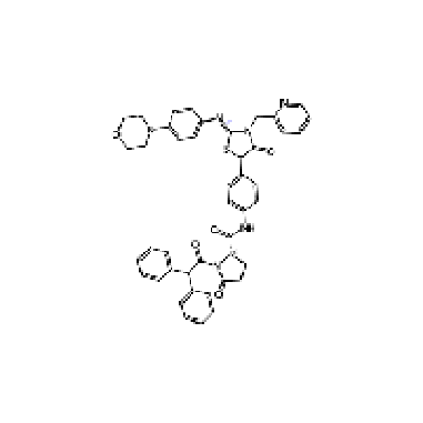 O=C(Nc1ccc(C2S/C(=N\c3ccc(N4CCOCC4)cc3)N(Cc3ccccn3)C2=O)cc1)[C@@H]1CCC(=O)N1C(=O)C(c1ccccc1)c1ccccc1